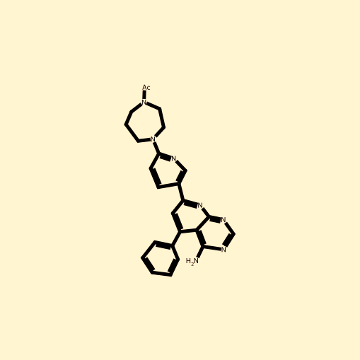 CC(=O)N1CCCN(c2ccc(-c3cc(-c4ccccc4)c4c(N)ncnc4n3)cn2)CC1